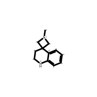 CN1CC2(CCNc3ccccc32)C1